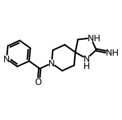 N=C1NCC2(CCN(C(=O)c3cccnc3)CC2)N1